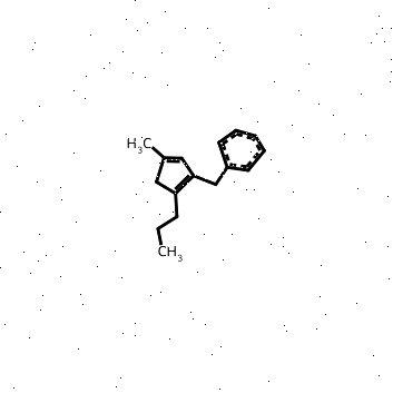 CCCC1=C(Cc2ccccc2)C=C(C)C1